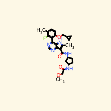 COCC(=O)N[C@H]1CC[C@H](NC(=O)c2c(C)[nH]c3c(-c4c(OCC5CC5)ccc(C)c4F)ncnc23)C1